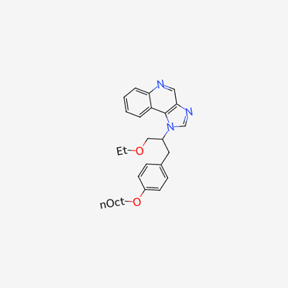 CCCCCCCCOc1ccc(CC(COCC)n2cnc3cnc4ccccc4c32)cc1